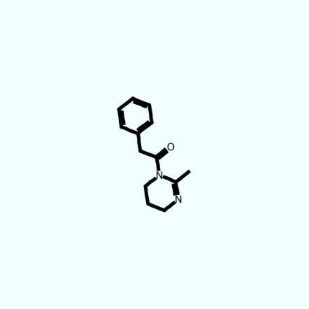 CC1=NCCCN1C(=O)Cc1ccccc1